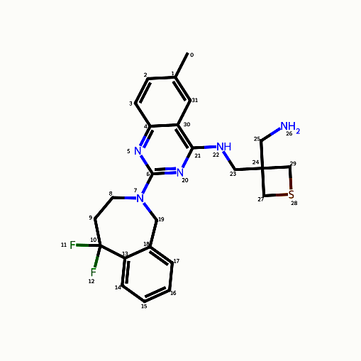 Cc1ccc2nc(N3CCC(F)(F)c4ccccc4C3)nc(NCC3(CN)CSC3)c2c1